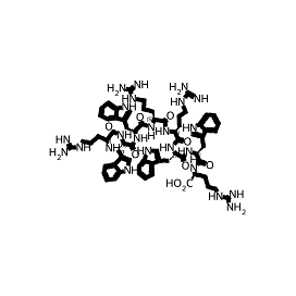 N=C(N)NCCC[C@H](NC(=O)[C@H](Cc1c[nH]c2ccccc12)NC(=O)[C@H](Cc1c[nH]c2ccccc12)NC(=O)[C@H](CCCNC(=N)N)NC(=O)[C@H](CCCNC(=N)N)NC(=O)[C@H](Cc1c[nH]c2ccccc12)NC(=O)[C@H](Cc1c[nH]c2ccccc12)NC(=O)[C@@H](N)CCCNC(=N)N)C(=O)O